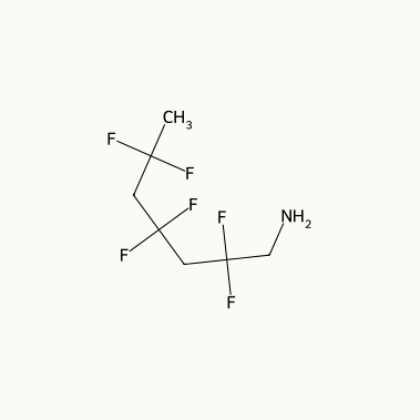 CC(F)(F)CC(F)(F)CC(F)(F)CN